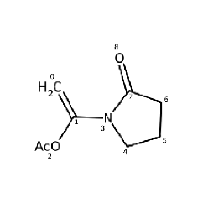 C=C(OC(C)=O)N1CCCC1=O